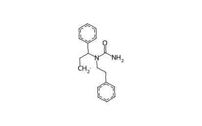 [CH2]CC(c1ccccc1)N(CCc1ccccc1)C(N)=O